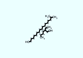 CC(C)CCCCCCCCCCCCCCCO.CCCCC(CC)CO